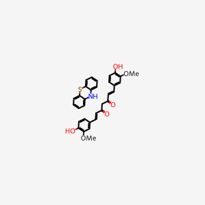 COc1cc(/C=C/C(=O)CC(=O)/C=C/c2ccc(O)c(OC)c2)ccc1O.c1ccc2c(c1)Nc1ccccc1S2